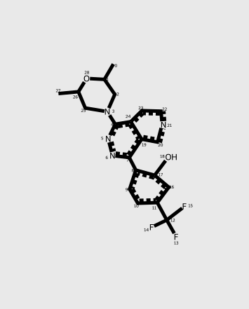 CC1CN(c2nnc(-c3ccc(C(F)(F)F)cc3O)c3cnccc23)CC(C)O1